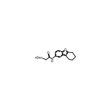 CCCCCCCCCCCC(=O)Nc1ccc2oc3c(c2c1)CCCC3